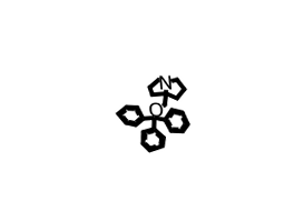 c1ccc(C(OCC23CCCN2CCC3)(c2ccccc2)c2ccccc2)cc1